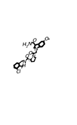 COc1ccc2c(c1)c(C(N)=O)cn2CC(=O)N1CCC[C@H]1C(=O)NCc1cccc(Cl)c1F